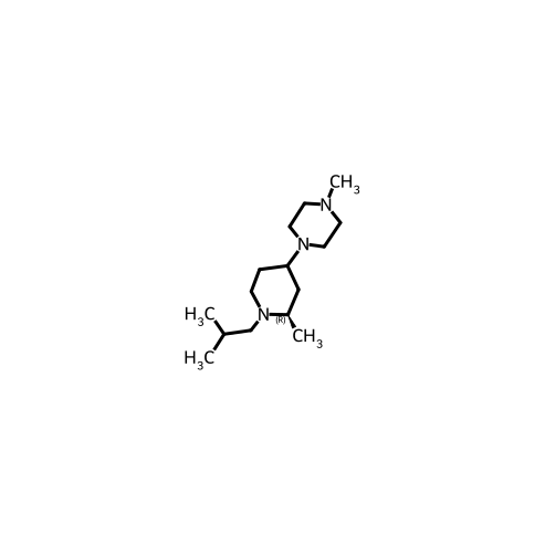 CC(C)CN1CCC(N2CCN(C)CC2)C[C@H]1C